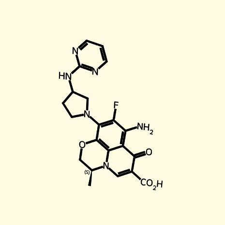 C[C@H]1COc2c(N3CCC(Nc4ncccn4)C3)c(F)c(N)c3c(=O)c(C(=O)O)cn1c23